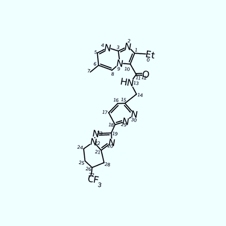 CCc1nc2ncc(C)cn2c1C(=O)NCc1ccc(-c2nc3n(n2)CCC(C(F)(F)F)C3)nn1